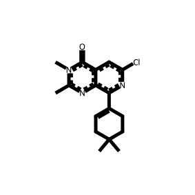 Cc1nc2c(C3=CCC(C)(C)CC3)nc(Cl)cc2c(=O)n1C